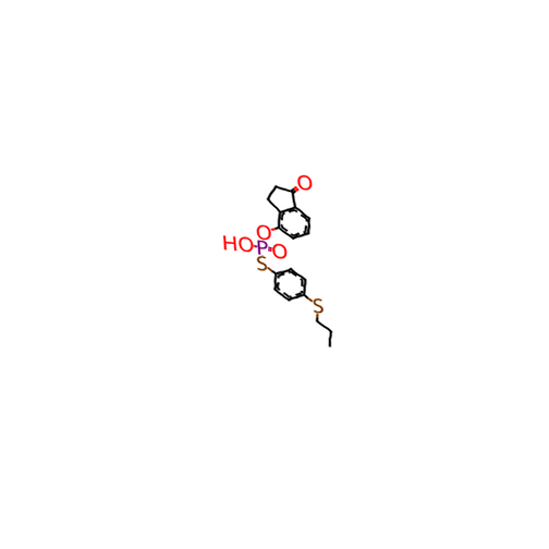 CCCSc1ccc(SP(=O)(O)Oc2cccc3c2CCC3=O)cc1